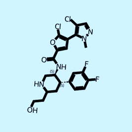 Cn1ncc(Cl)c1-c1cc(C(=O)N[C@@H]2CNC(CCO)C[C@H]2c2ccc(F)c(F)c2)oc1Cl